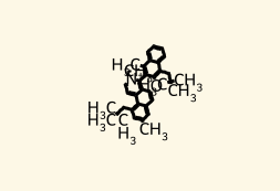 Cc1cc(CC(C)(C)C)c2c(c1)cc1c3c([n+](C)ccc32)-c2c(c(CC(C)(C)C)c3ccccc3c2C)O1